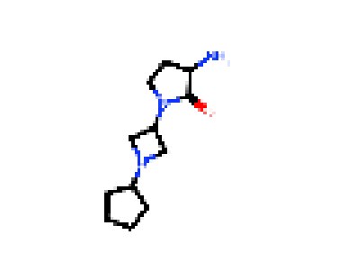 NC1CCN(C2CN(C3CCCC3)C2)C1=O